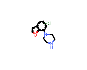 Cl.c1cc(N2CCNCC2)c2occc2c1